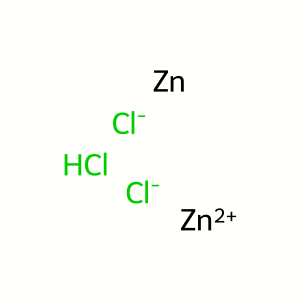 Cl.[Cl-].[Cl-].[Zn+2].[Zn]